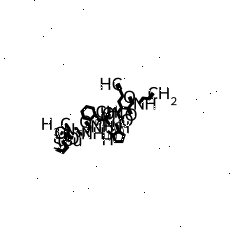 C#CCCC(NC(=O)[C@@H]1[C@H]2CCC[C@H]2CN1C(=O)[C@@H](NC(=O)N[C@H](CN(C)S(=O)(=O)c1cccs1)C(C)(C)C)C1(C)CCCCC1)C(=O)C(=O)NCC=C